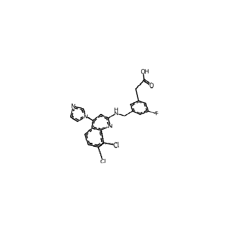 O=C(O)Cc1cc(F)cc(CNc2cc(-n3ccnc3)c3ccc(Cl)c(Cl)c3n2)c1